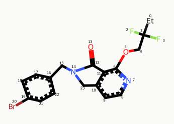 CCC(F)(F)COc1nccc2c1C(=O)N(Cc1ccc(Br)cc1)C2